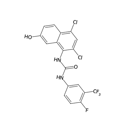 O=C(Nc1ccc(F)c(C(F)(F)F)c1)Nc1c(Cl)cc(Cl)c2ccc(O)cc12